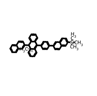 C[C@@]12C=CC=CC1=C(c1ccc(-c3ccc4cc([Si](C)(C)C)ccc4c3)cc1)c1ccccc1C2c1ccc2ccccc2c1